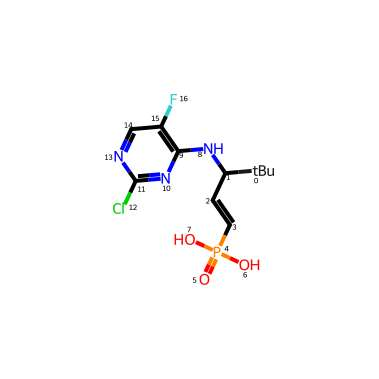 CC(C)(C)C(C=CP(=O)(O)O)Nc1nc(Cl)ncc1F